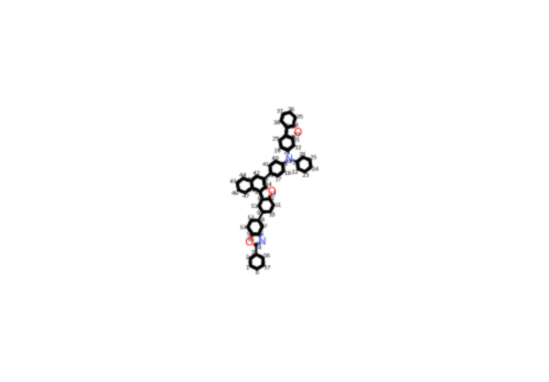 c1ccc(-c2nc3cc(-c4ccc5oc6c(-c7ccc(N(c8ccccc8)c8ccc9c(c8)oc8ccccc89)cc7)cc7ccccc7c6c5c4)ccc3o2)cc1